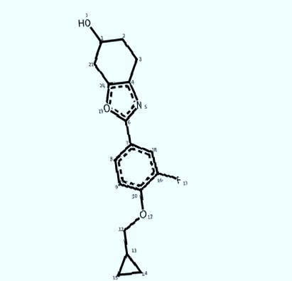 OC1CCc2nc(-c3ccc(OCC4CC4)c(F)c3)oc2C1